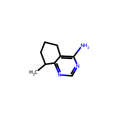 CC1CCCc2c(N)ncnc21